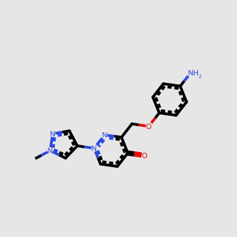 Cn1cc(-n2ccc(=O)c(COc3ccc(N)cc3)n2)cn1